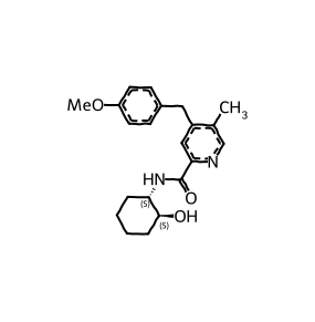 COc1ccc(Cc2cc(C(=O)N[C@H]3CCCC[C@@H]3O)ncc2C)cc1